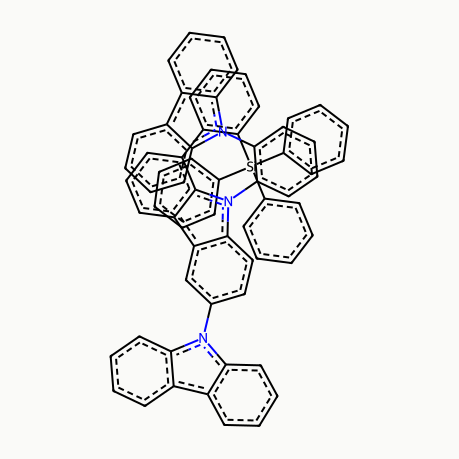 c1ccc([Si](c2ccccc2)(c2ccccc2)c2ccccc2-c2cccc3c4cc(-n5c6ccccc6c6ccccc65)ccc4n(-c4ccccc4-n4c5ccccc5c5ccccc54)c23)cc1